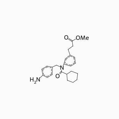 COC(=O)CCc1cccc(N(Cc2ccc(N)cc2)C(=O)C2CCCCC2)c1